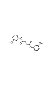 COc1cccc(OC(=O)CCC(=O)Oc2cccc(OC)c2)c1